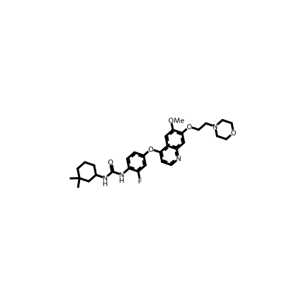 COc1cc2c(Oc3ccc(NC(=O)NC4CCCC(C)(C)C4)c(F)c3)ccnc2cc1OCCN1CCOCC1